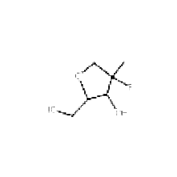 CC1(F)[CH]OC(CO)C1O